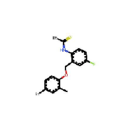 CCC(=S)Nc1ccc(F)cc1COc1ccc(CC)cc1C